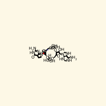 NC1=C2NCN(c3oc4c(c3O)O[PH](O)(O)O/C=C3/OC(n5ccc6c(=O)[nH]c(N)nc65)=C(O[PH](O)(O)OC4)[C@@H]3O)C2NCN1